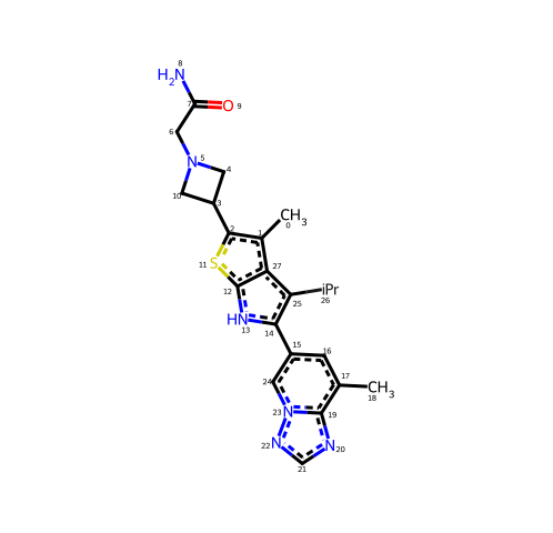 Cc1c(C2CN(CC(N)=O)C2)sc2[nH]c(-c3cc(C)c4ncnn4c3)c(C(C)C)c12